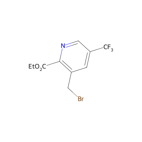 CCOC(=O)c1ncc(C(F)(F)F)cc1CBr